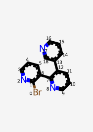 Brc1ncccc1-c1ncccc1-c1cccnc1